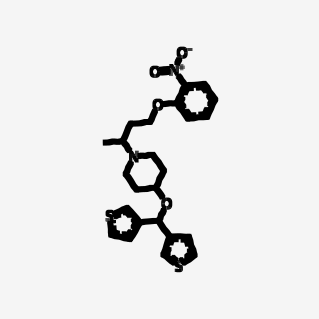 CC(CCOc1ccccc1[N+](=O)[O-])N1CCC(OC(c2ccsc2)c2ccsc2)CC1